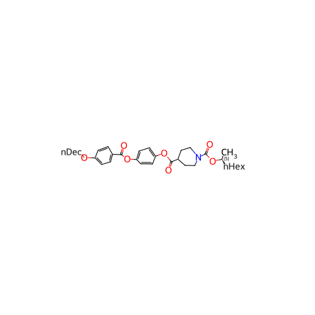 CCCCCCCCCCOc1ccc(C(=O)Oc2ccc(OC(=O)C3CCN(C(=O)O[C@@H](C)CCCCCC)CC3)cc2)cc1